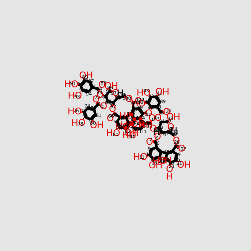 O=C(O[C@@H]1[C@@H]2OC(=O)c3cc(O)c(O)c(O)c3-c3c(cc(O)c(O)c3O)C(=O)OC[C@H]2OC(O)[C@H]1OC(=O)c1cc(O)c(O)c(O)c1Oc1cc2c(c(O)c1O)-c1c(cc(O)c(O)c1O)C(=O)OC1[C@@H](OC(=O)c3cc(O)c(O)c(O)c3)[C@@H](OC(=O)c3cc(O)c(O)c(O)c3)C(O)O[C@@H]1COC2=O)c1cc(O)c(O)c(O)c1